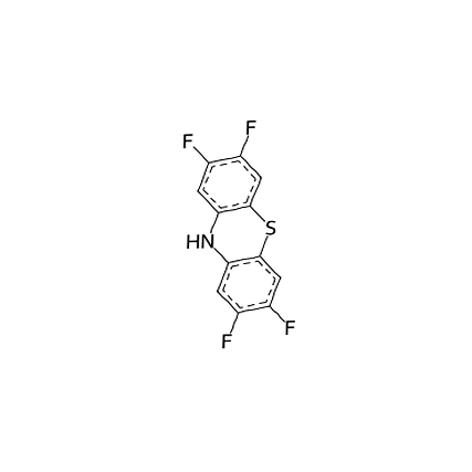 Fc1cc2c(cc1F)Sc1cc(F)c(F)cc1N2